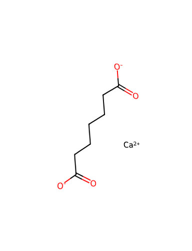 O=C([O-])CCCCCC(=O)[O-].[Ca+2]